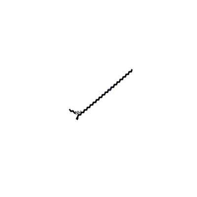 C#CC(CCCCCCCCCCCCCCCCCCC/C=C/CCCCCCCCCCCCCCC)NCCCC